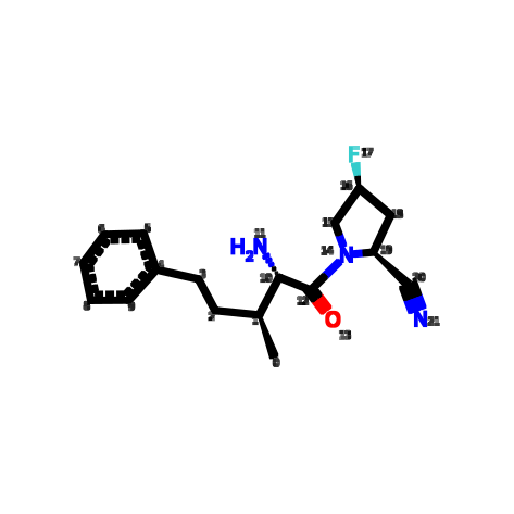 C[C@@H](CCc1ccccc1)[C@H](N)C(=O)N1C[C@@H](F)C[C@H]1C#N